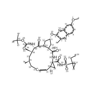 COc1ccc2nc(C)c(O[C@@H]3C[C@H]4C(=O)N[C@]5(C(=O)NS(=O)(=O)C6(CF)CC6)C[C@H]5/C=C\CC[C@@H](C)C[C@@H](C)[C@H](NC(=O)OC(C)(C)C)C(=O)N4C3)nc2c1